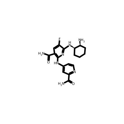 NC(=O)c1cc(Nc2nc(N[C@@H]3CCCC[C@@H]3N)c(F)cc2C(N)=O)ccn1